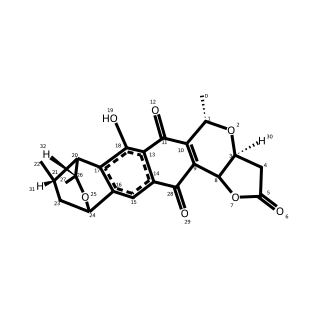 C[C@@H]1O[C@H]2CC(=O)OC2C2=C1C(=O)c1c(cc3c(c1O)C1[C@@H](C)CC3O[C@@H]1C)C2=O